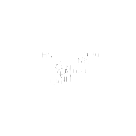 CCCCc1nc2c(NC(C)(C)C)nc3cc(C4CCNCC4)sc3c2n1CC1CCN(C(=O)OC(C)(C)C)CC1